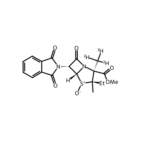 [2H]C([2H])([2H])[C@@]1(C(=O)OC)N2C(=O)[C@@H](N3C(=O)c4ccccc4C3=O)[C@H]2[S+]([O-])[C@]1(C)CC